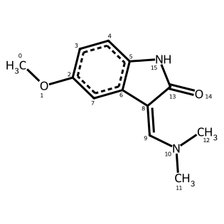 COc1ccc2c(c1)/C(=C/N(C)C)C(=O)N2